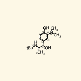 CC(NC(C)(C)C)C(O)c1ccc(O)c(N(C)C)c1